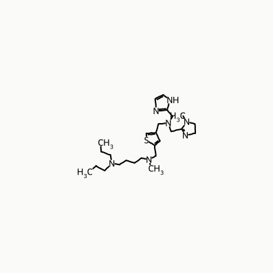 CCCN(CCC)CCCCN(C)Cc1cc(CN(CC2=NCCN2C)Cc2ncc[nH]2)cs1